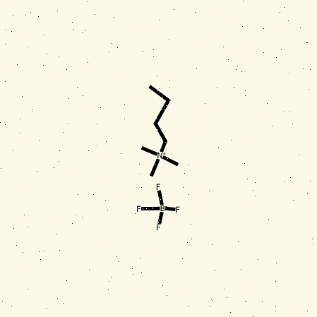 CCCC[N+](C)(C)C.F[B-](F)(F)F